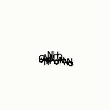 Nc1nc(-c2cccc(C(=O)N3CCN(c4ccccn4)CC3)c2)cn2nc(-c3ccco3)nc12